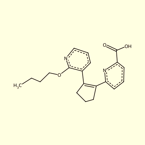 CCCCOc1ncccc1C1=C(c2cccc(C(=O)O)n2)CCC1